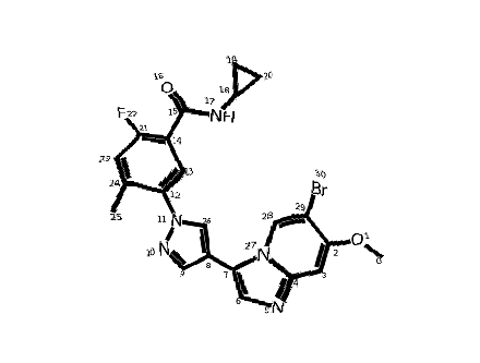 COc1cc2ncc(-c3cnn(-c4cc(C(=O)NC5CC5)c(F)cc4C)c3)n2cc1Br